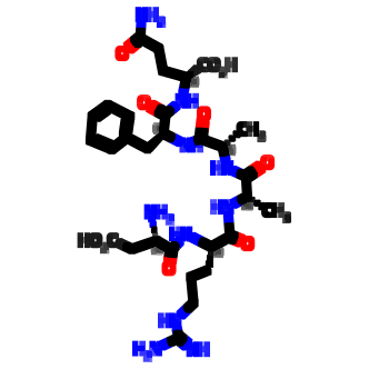 C[C@H](NC(=O)[C@H](C)NC(=O)[C@H](CCCNC(=N)N)NC(=O)[C@@H](N)CC(=O)O)C(=O)N[C@@H](Cc1ccccc1)C(=O)N[C@@H](CCC(N)=O)C(=O)O